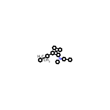 CC(C)(c1ccccc1)c1ccc(-c2ccc3c(c2)-c2cc(N(c4ccccc4)c4ccc(-c5ccccc5)cc4)ccc2C32c3ccccc3-c3ccccc32)cc1